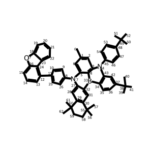 Cc1cc2c3c(c1)N(c1ccc(-c4cccc5oc6ccccc6c45)cc1)c1cc4c(cc1B3c1ccc(C(C)(C)C)cc1N2c1ccc(C(C)(C)C)cc1)C(C)(C)CCC4(C)C